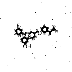 CC(c1cccc(OCC2CCN(c3cc(O)ccc3N(C)c3cccc(F)c3)CC2)c1)C1CC1